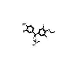 CCOc1c(I)cc(C(=O)c2ccc(O)c(I)c2)cc1I.CNC.Cl